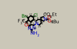 CCOC(=O)C1CC2(CCN(c3cc(O[C@H](c4ccc(Cl)cc4Br)C(F)(F)F)nc(N)n3)CC2)CN1C(=O)OC(C)(C)C